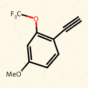 C#Cc1ccc(OC)cc1OC(F)(F)F